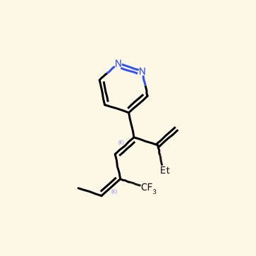 C=C(CC)/C(=C\C(=C/C)C(F)(F)F)c1ccnnc1